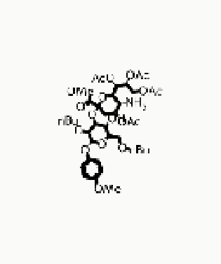 CCCCOCC1O[C@@H](Oc2ccc(OC)cc2)C(OCCCC)C(O[C@]2(C(=O)OC)CC(OC(C)=O)[C@@H](N)C([C@H](OC(C)=O)[C@@H](COC(C)=O)OC(C)=O)O2)[C@H]1O